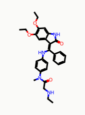 CCNCC(=O)N(C)c1ccc(NC(=C2C(=O)Nc3cc(OCC)c(OCC)cc32)c2ccccc2)cc1